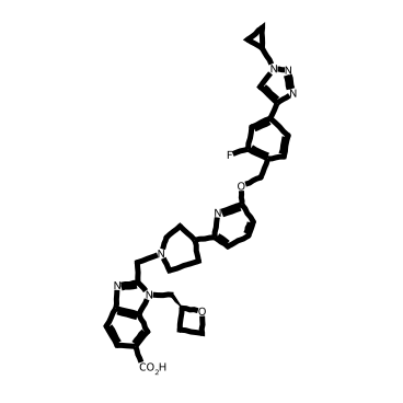 O=C(O)c1ccc2nc(CN3CCC(c4cccc(OCc5ccc(-c6cn(C7CC7)nn6)cc5F)n4)CC3)n(C[C@@H]3CCO3)c2c1